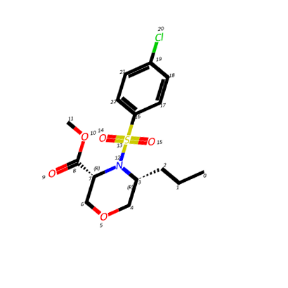 CCC[C@@H]1COC[C@H](C(=O)OC)N1S(=O)(=O)c1ccc(Cl)cc1